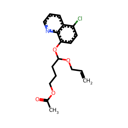 C=CCOC(CCCOC(C)=O)Oc1ccc(Cl)c2cccnc12